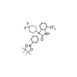 CC1(C)OB(c2ccc([C@@]3(C4CCC(F)(F)CC4)C(=O)Nc4c(C(F)(F)F)cccc43)cc2)OC1(C)C